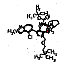 Cn1cc2c(Cl)c(-c3cn(COCC[Si](C)(C)C)c4nc(N5C6CCC5CC(C)(NC(=O)OC(C)(C)C)C6)cnc34)ccc2n1